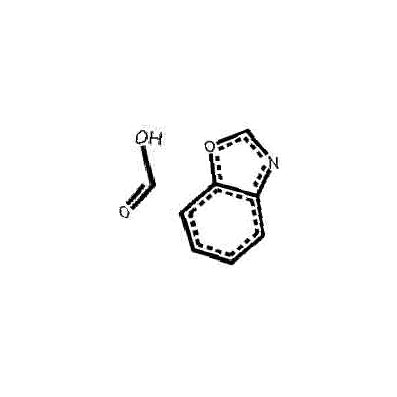 O=CO.c1ccc2ocnc2c1